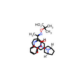 C/C(=N\OC(C)(C)C(=O)O)c1nc2ccccc2n([C@H]2C[C@H]3CC[C@@H](C2)N3C2C[C@H]3CCCC[C@@H](C2)C3)c1=O